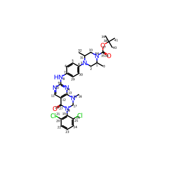 CC1CN(c2ccc(Nc3ncc4c(n3)N(C)CN(c3c(Cl)cccc3Cl)C4=O)cc2)C(C)CN1C(=O)OC(C)(C)C